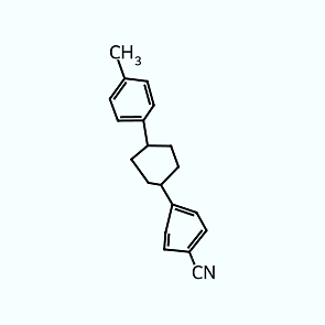 Cc1ccc(C2CCC(c3ccc(C#N)cc3)CC2)cc1